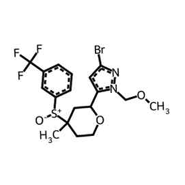 COCn1nc(Br)cc1C1CC(C)([S+]([O-])c2cccc(C(F)(F)F)c2)CCO1